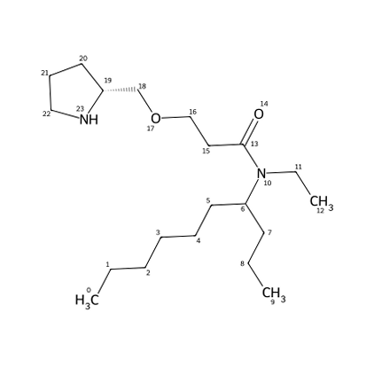 CCCCCCC(CCC)N(CC)C(=O)CCOC[C@H]1CCCN1